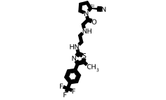 Cc1sc(NCCNCC(=O)N2CCC[C@H]2C#N)nc1-c1ccc(C(F)(F)F)cc1